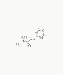 CN(C)C(=O)C=Cc1ccccn1